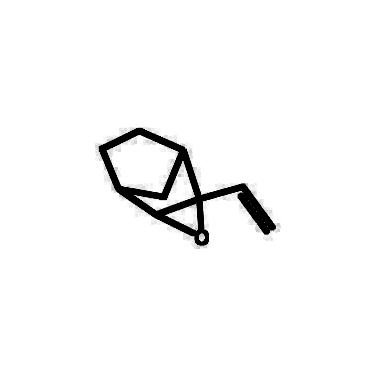 C=CC12OC1C1CCC2C1